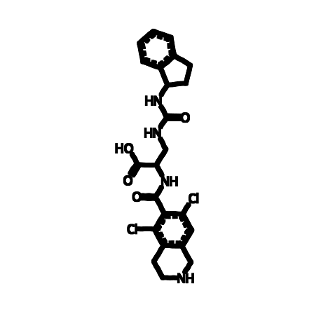 O=C(NCC(NC(=O)c1c(Cl)cc2c(c1Cl)CCNC2)C(=O)O)NC1CCc2ccccc21